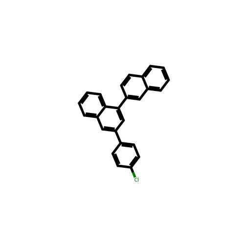 Clc1ccc(-c2cc(-c3ccc4ccccc4c3)c3ccccc3c2)cc1